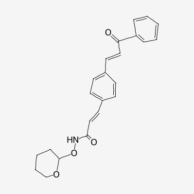 O=C(/C=C/c1ccc(/C=C/C(=O)c2ccccc2)cc1)NOC1CCCCO1